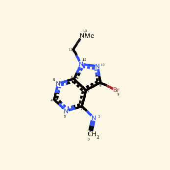 C=Nc1ncnc2c1c(Br)nn2CNC